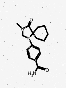 CN1CN(c2ccc(C(N)=O)cc2)C2(CCCCC2)C1=O